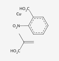 C=C(C)C(=O)O.O=C(O)c1ccccc1[N+](=O)[O-].[Cu]